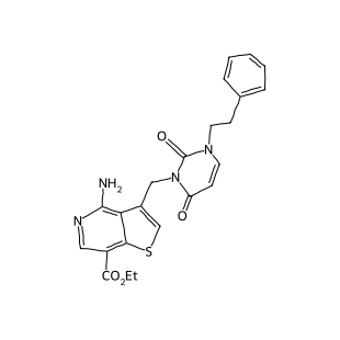 CCOC(=O)c1cnc(N)c2c(Cn3c(=O)ccn(CCc4ccccc4)c3=O)csc12